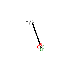 CCCCCCCCCCCCCCCCCOC(=O)C(Cl)Cl